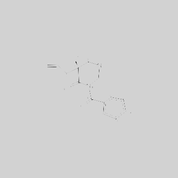 C=CC[C@]1(F)CNCN(C(=O)c2ccccc2)C1=O